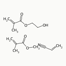 C=C(C)C(=O)OC.C=C(C)C(=O)OCCO.C=CC#N